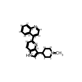 CN1CCC(c2c[nH]c3ccc(-c4ccnc5ccccc45)nc23)CC1